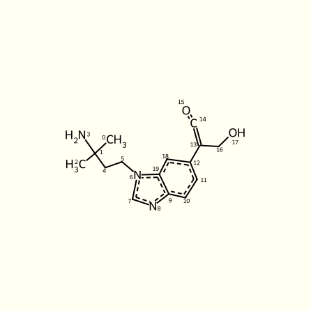 CC(C)(N)CCn1cnc2ccc(C(=C=O)CO)cc21